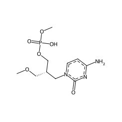 COC[C@H](COP(=O)(O)OC)Cn1ccc(N)nc1=O